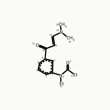 CCC(=O)N(CC)c1cccc(C(=O)C=CN(C)C)c1